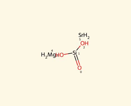 O=[Si](O)O.[MgH2].[SrH2]